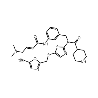 CN(C)C/C=C/C(=O)Nc1cccc(CN(C(=O)C2CCNCC2)c2ncc(SCc3ncc(C(C)(C)C)o3)s2)c1